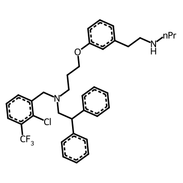 CCCNCCc1cccc(OCCCN(Cc2cccc(C(F)(F)F)c2Cl)CC(c2ccccc2)c2ccccc2)c1